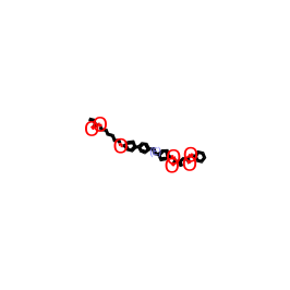 C=CC(=O)OCCCCCCOc1ccc(-c2ccc(/C=C/c3ccc(OC(=O)C(=C)CC(=O)OC4CCCCC4)cc3)cc2)cc1